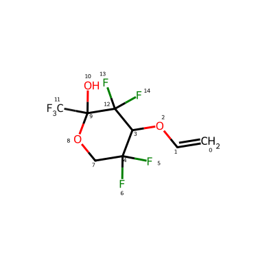 C=COC1C(F)(F)COC(O)(C(F)(F)F)C1(F)F